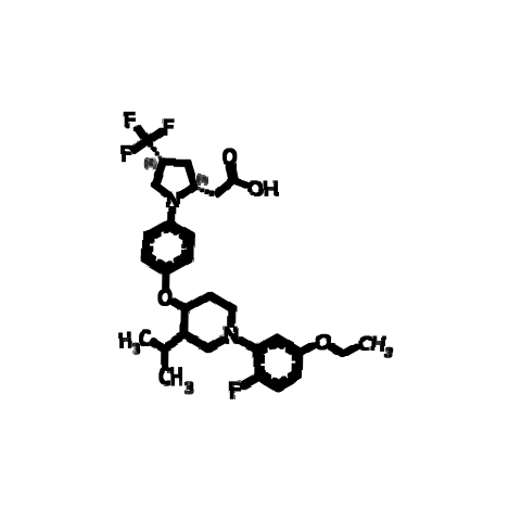 CCOc1ccc(F)c(N2CCC(Oc3ccc(N4C[C@H](C(F)(F)F)C[C@@H]4CC(=O)O)cc3)C(C(C)C)C2)c1